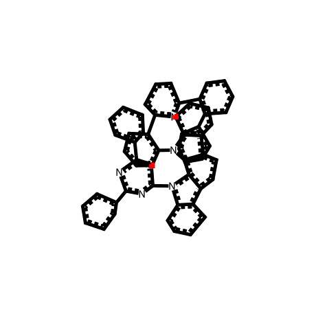 c1ccc(-c2nc(-c3ccccc3)nc(-n3c4ccccc4c4ccc5c6ccccc6n(-c6ccccc6-c6cccc(-c7ccccc7-c7ccccc7)n6)c5c43)n2)cc1